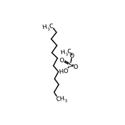 CCCCCCCCCCCC.COS(=O)(=O)O